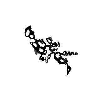 COc1cc(C(=O)NC[C@](O)(c2cc3c(c(-c4ccc5c(c4)CCC5)n2)OC[C@]3(C)C(N)=O)C(F)(F)F)cc2cn(C3CC3)nc12